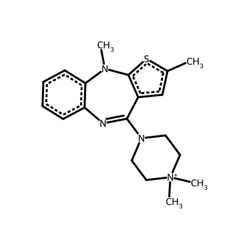 Cc1cc2c(s1)N(C)c1ccccc1N=C2N1CC[N+](C)(C)CC1